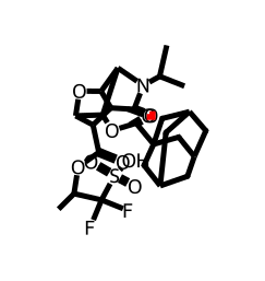 CC(C)N1C(=O)C2C3OC(C(OC(=O)C45CC6CC(CC(C6)C4)C5)C31)C2C(=O)OC(C)C(F)(F)S(=O)(=O)O